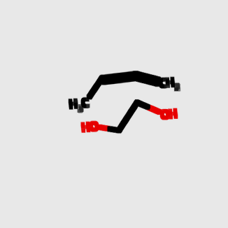 C=C=CC.OCCO